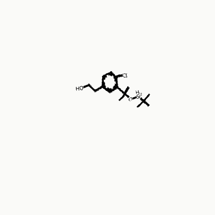 CC(C)(C)[SiH2]OC(C)(C)c1cc(CCO)ccc1Cl